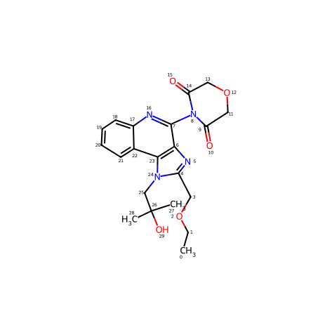 CCOCc1nc2c(N3C(=O)COCC3=O)nc3ccccc3c2n1CC(C)(C)O